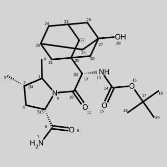 CC1[C@@H](C)C[C@@H](C(N)=O)N1C(=O)[C@@H](NC(=O)OC(C)(C)C)C12CC3CC(CC(O)(C3)C1)C2